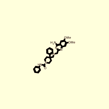 COc1cc2nc(CNCC3(c4ccccc4)CCN(C(=O)Nc4ccccc4)CC3)nc(N)c2cc1OC